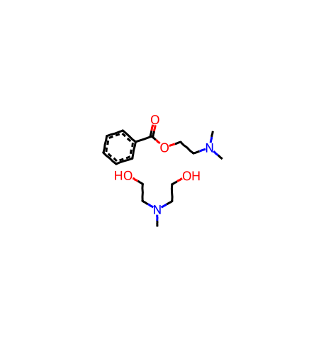 CN(C)CCOC(=O)c1ccccc1.CN(CCO)CCO